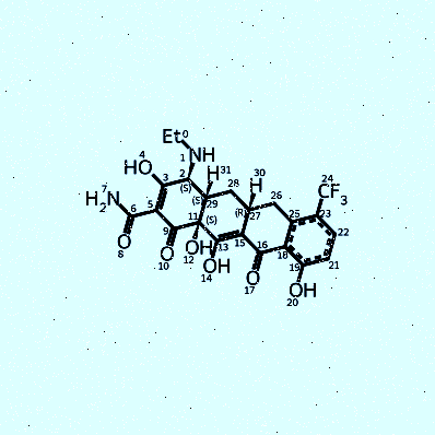 CCN[C@@H]1C(O)=C(C(N)=O)C(=O)[C@@]2(O)C(O)=C3C(=O)c4c(O)ccc(C(F)(F)F)c4C[C@H]3C[C@@H]12